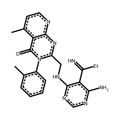 CCC(=N)c1c(N)ncnc1NCc1nc2nccc(C)c2c(=O)n1-c1ccccc1C